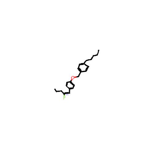 CCCCCc1ccc(COc2ccc(/C=C(/F)CCC)cc2)cc1